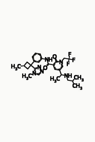 CC(C)CNC(C)c1cc(C(=O)Nc2cccc(C3(c4nncn4C)CC(C)C3)c2)c(=O)n(CC(F)(F)F)c1